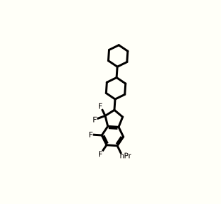 CCCc1cc2c(c(F)c1F)C(F)(F)C(C1CCC(C3CCCCC3)CC1)C2